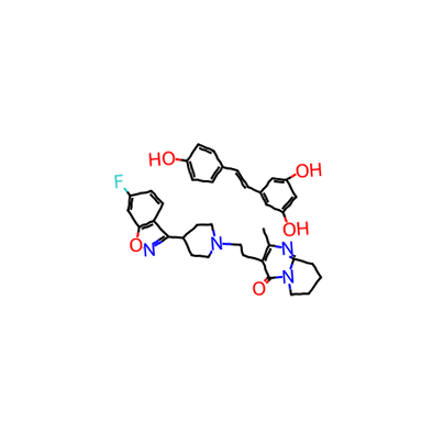 Cc1nc2n(c(=O)c1CCN1CCC(c3noc4cc(F)ccc34)CC1)CCCC2.Oc1ccc(/C=C/c2cc(O)cc(O)c2)cc1